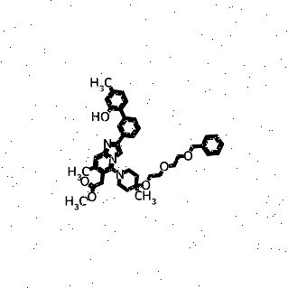 COC(=O)Cc1c(C)cc2nc(-c3cccc(-c4ccc(C)cc4O)c3)cn2c1N1CCC(C)(OCCOCCOCc2ccccc2)CC1